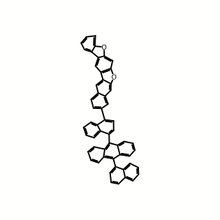 c1ccc2c(-c3c4ccccc4c(-c4ccc(-c5ccc6cc7c(cc6c5)oc5cc6oc8ccccc8c6cc57)c5ccccc45)c4ccccc34)cccc2c1